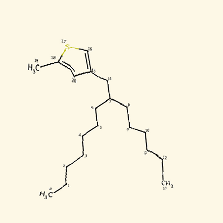 CCCCCCCC(CCCCCC)Cc1csc(C)c1